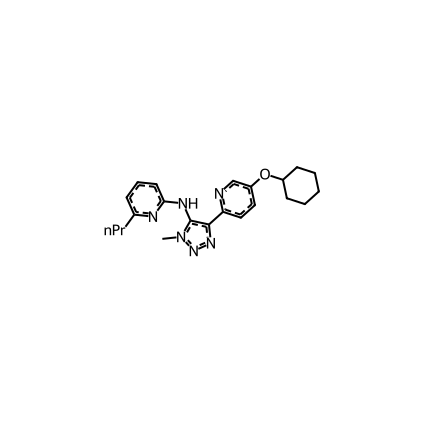 CCCc1cccc(Nc2c(-c3ccc(OC4CCCCC4)cn3)nnn2C)n1